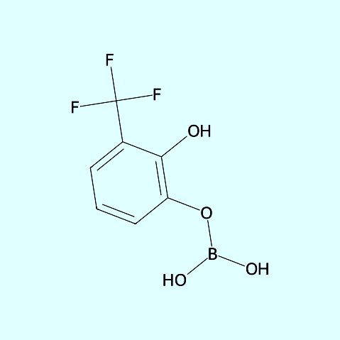 OB(O)Oc1cccc(C(F)(F)F)c1O